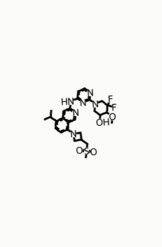 COC1C(O)CN(c2nccc(Nc3cc4c(C(C)C)ccc(N5CC(CS(C)(=O)=O)C5)c4cn3)n2)CC1(F)F